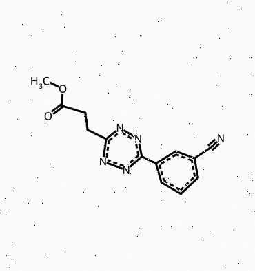 COC(=O)CCc1nnc(-c2cccc(C#N)c2)nn1